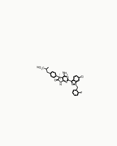 CC(Cc1ccc([C@]2(C)C(=O)Nc3nc(-c4nn(Cc5ccccc5F)c5cc(Cl)ccc45)nc(N)c32)cc1)C(=O)O